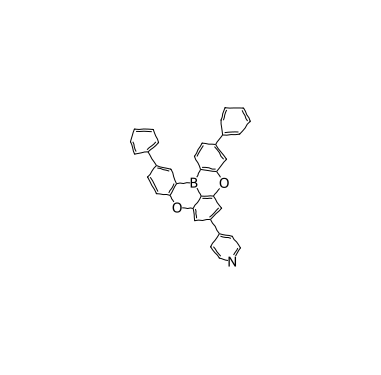 c1ccc(-c2ccc3c(c2)Oc2cc(-c4ccncc4)cc4c2B3c2cc(-c3ccccc3)ccc2O4)cc1